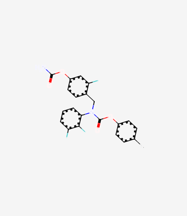 NC(=O)Oc1ccc(CN(C(=O)Oc2ccc([N+](=O)[O-])cc2)c2cccc(F)c2F)c(F)c1